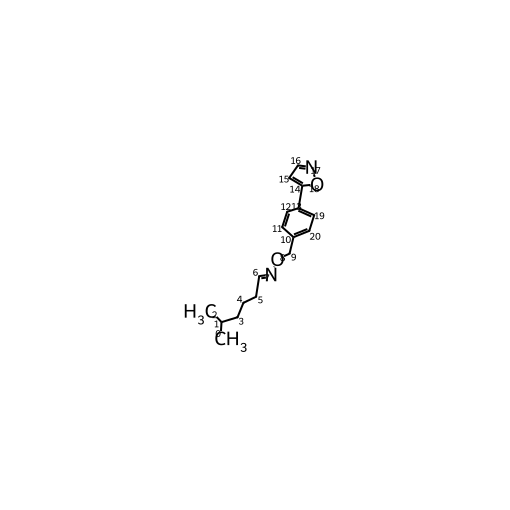 CC(C)CCC/C=N/OCc1ccc(-c2ccno2)cc1